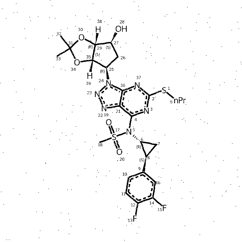 CCCSc1nc(N([C@@H]2C[C@H]2c2ccc(F)c(F)c2)S(C)(=O)=O)c2nnn([C@@H]3C[C@H](O)[C@H]4OC(C)(C)O[C@H]43)c2n1